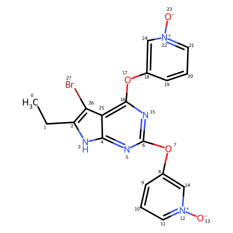 CCc1[nH]c2nc(Oc3ccc[n+]([O-])c3)nc(Oc3ccc[n+]([O-])c3)c2c1Br